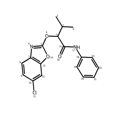 CC(C)C(Oc1nc2ccc(Cl)cc2o1)C(=O)Nc1ccccc1